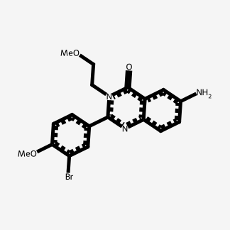 COCCn1c(-c2ccc(OC)c(Br)c2)nc2ccc(N)cc2c1=O